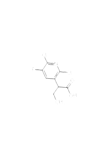 CCC(C(=O)O)c1cc(F)c(Cl)nc1Cl